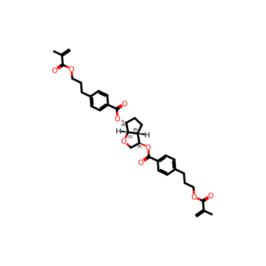 C=C(C)C(=O)OCCCc1ccc(C(=O)O[C@H]2CO[C@H]3[C@@H]2CC[C@H]3OC(=O)c2ccc(CCCOC(=O)C(=C)C)cc2)cc1